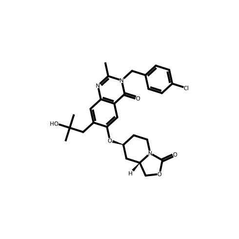 Cc1nc2cc(CC(C)(C)O)c(O[C@H]3CCN4C(=O)OC[C@@H]4C3)cc2c(=O)n1Cc1ccc(Cl)cc1